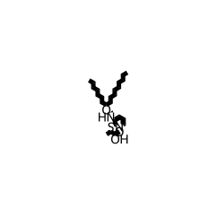 CCCCCCCCCC(CCCCCCC)OCNc1cccnc1SC(C)C(=O)O